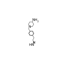 N=NCCc1ccc(CN2CCC(N)CC2)cc1